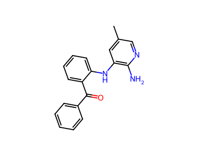 Cc1cnc(N)c(Nc2ccccc2C(=O)c2ccccc2)c1